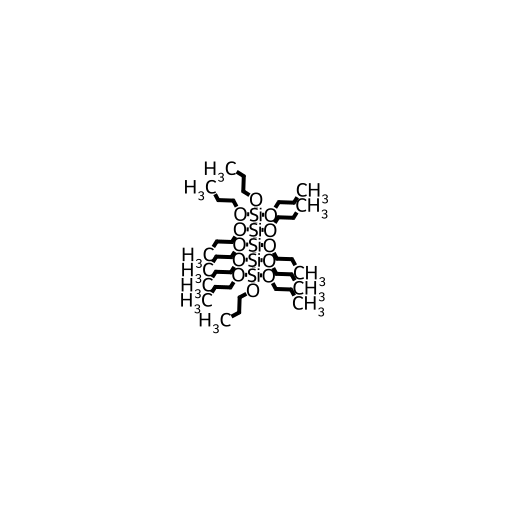 CCCO[Si](OCCC)(OCCC)[Si](OCCC)(OCCC)[Si](OCCC)(OCCC)[Si](OCCC)(OCCC)[Si](OCCC)(OCCC)OCCC